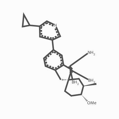 BC1(B)OC(N)=N[C@]12c1cc(-c3cncc(C4CC4)c3)ccc1C[C@]21CC[C@@H](OC)[C@H](C)C1